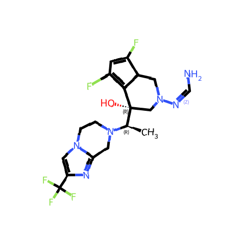 C[C@@H](N1CCn2cc(C(F)(F)F)nc2C1)[C@]1(O)CN(/N=C\N)CC2C(F)=CC(F)=C21